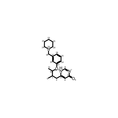 CC(Cc1cc(=O)nc[nH]1)C(C)Oc1cccc(CN2CCCCC2)c1